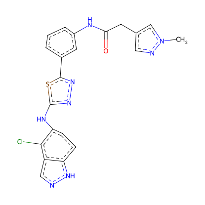 Cn1cc(CC(=O)Nc2cccc(-c3nnc(Nc4ccc5[nH]ncc5c4Cl)s3)c2)cn1